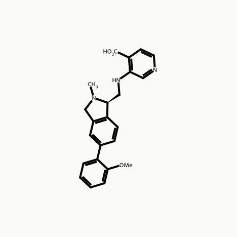 COc1ccccc1-c1ccc2c(c1)CN(C)[C@H]2CNc1cnccc1C(=O)O